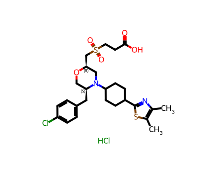 Cc1nc(C2CCC(N3C[C@H](CS(=O)(=O)CCC(=O)O)OC[C@@H]3Cc3ccc(Cl)cc3)CC2)sc1C.Cl